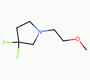 COCCN1CCC(F)(F)C1